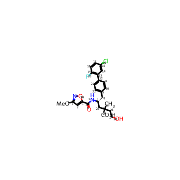 COc1cc(C(=O)N[C@H](Cc2ccc(-c3cc(Cl)ccc3F)cc2)CC(C)(CCO)C(=O)O)on1